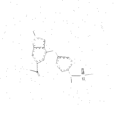 CCS(=O)(=O)N(C)c1cnc(Oc2cc(C(=O)OC)cc3nn(C)cc23)cn1